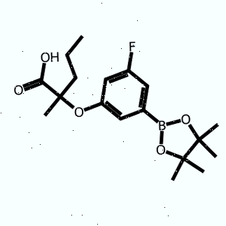 CCCC(C)(Oc1cc(F)cc(B2OC(C)(C)C(C)(C)O2)c1)C(=O)O